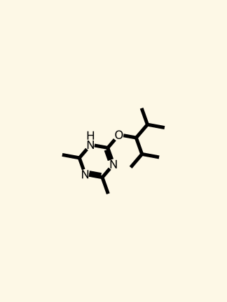 CC1=NC(C)NC(OC(C(C)C)C(C)C)=N1